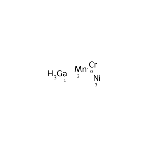 [Cr].[GaH3].[Mn].[Ni]